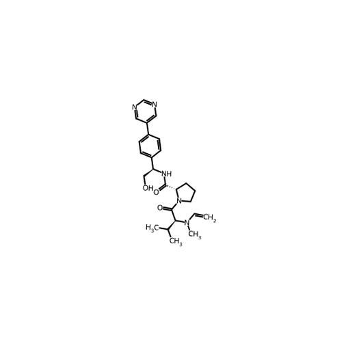 C=CN(C)[C@H](C(=O)N1CCC[C@H]1C(=O)N[C@@H](CO)c1ccc(-c2cncnc2)cc1)C(C)C